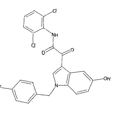 O=C(Nc1c(Cl)cccc1Cl)C(=O)c1cn(Cc2ccc(F)cc2)c2ccc(O)cc12